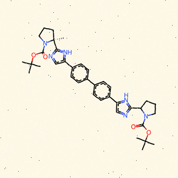 CC(C)(C)OC(=O)N1CCCC1c1ncc(-c2ccc(-c3ccc(-c4cnc([C@]5(C)CCCN5C(=O)OC(C)(C)C)[nH]4)cc3)cc2)[nH]1